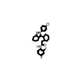 O=C(CC1CCCCC1c1c2c(nn1-c1ccc(Cl)cc1)CCCC2)Nc1ccc(F)cc1F